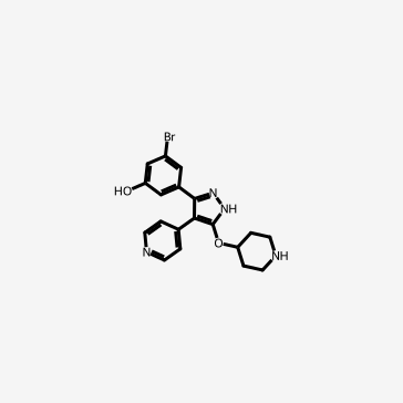 Oc1cc(Br)cc(-c2n[nH]c(OC3CCNCC3)c2-c2ccncc2)c1